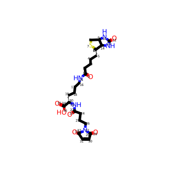 O=C(CCCC[C@@H]1SCC2NC(=O)NC21)NCCCC[C@H](NC(=O)CCCN1C(=O)C=CC1=O)C(=O)O